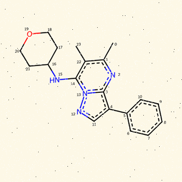 Cc1nc2c(-c3ccccc3)cnn2c(NC2CCOCC2)c1C